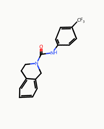 O=C(Nc1ccc(C(F)(F)F)cc1)N1CCc2ccccc2C1